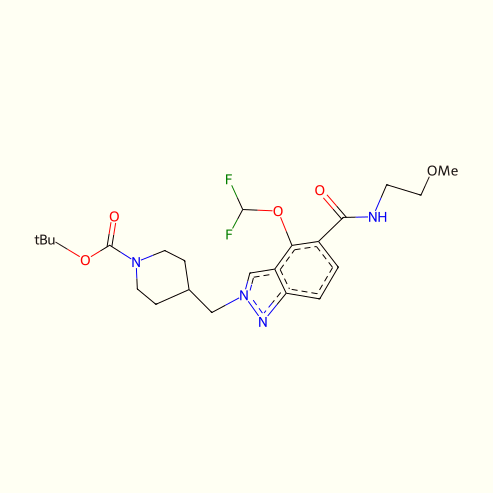 COCCNC(=O)c1ccc2nn(CC3CCN(C(=O)OC(C)(C)C)CC3)cc2c1OC(F)F